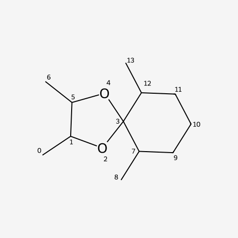 CC1OC2(OC1C)C(C)CCCC2C